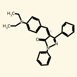 CCN(CC)c1ccc(/C=C2\C(=O)N(c3ccccc3)N=C2c2ccccc2)cc1